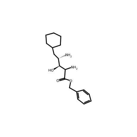 NC(C(=O)OCc1ccccc1)[C@@H](O)[C@@H](N)CC1CCCCC1